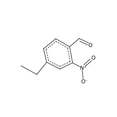 CCc1ccc(C=O)c([N+](=O)[O-])c1